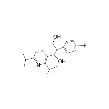 CC(C)c1ccc(C(O)C(CO)c2ccc(F)cc2)c(C(C)C)n1